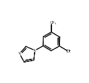 CCc1cc(-n2ccnc2)cc(C(F)(F)F)c1